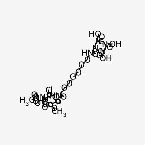 COc1cc2c(cc1-c1cccc(NC(=O)CCOCCOCCOCCOCCOCCOCCNC(=O)CN3CCN(CC(=O)O)CCN(CC(=O)O)CCN(CC(=O)O)CC3)c1)-c1c(c(C(=O)N3CCOCC3(C)C)nn1-c1cc(Cl)cc(Cl)c1)CO2